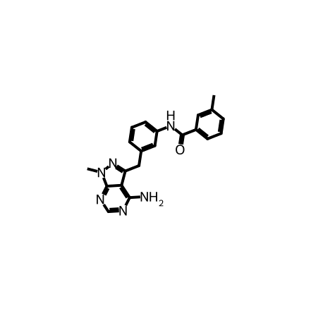 Cc1cccc(C(=O)Nc2cccc(Cc3nn(C)c4ncnc(N)c34)c2)c1